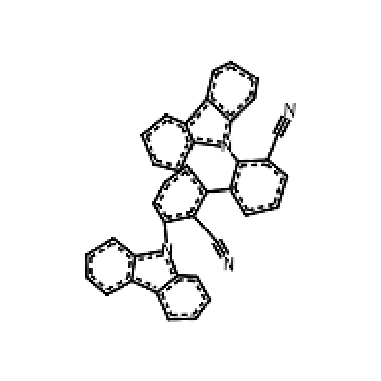 N#Cc1cccc(-c2cccc(-n3c4ccccc4c4ccccc43)c2C#N)c1-n1c2ccccc2c2ccccc21